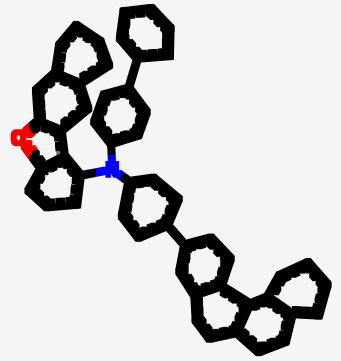 c1ccc(-c2ccc(N(c3ccc(-c4ccc5c(ccc6ccc7ccccc7c65)c4)cc3)c3cccc4oc5cc6ccccc6cc5c34)cc2)cc1